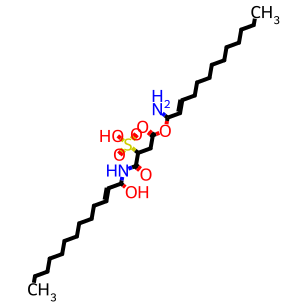 CCCCCCCCCCC=CC(O)NC(=O)C(CC(=O)OC(N)C=CCCCCCCCCCC)S(=O)(=O)O